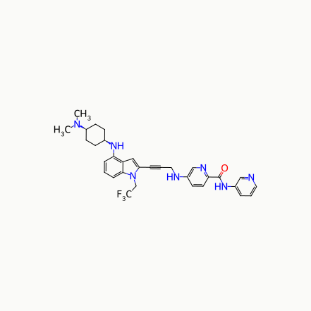 CN(C)[C@H]1CC[C@@H](Nc2cccc3c2cc(C#CCNc2ccc(C(=O)Nc4cccnc4)nc2)n3CC(F)(F)F)CC1